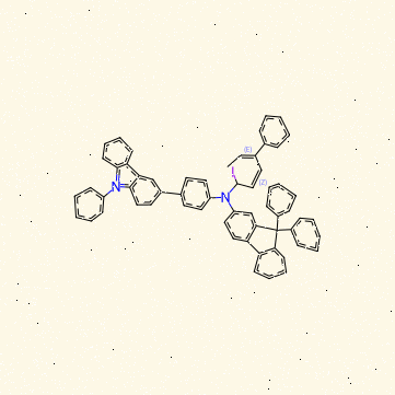 C/C=C(\C=C/C(I)N(c1ccc(-c2ccc3c(c2)c2ccccc2n3-c2ccccc2)cc1)c1ccc2c(c1)C(c1ccccc1)(c1ccccc1)c1ccccc1-2)c1ccccc1